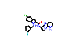 O=C(NC1=CCn2c1nc1c2NCCC1)c1cc2cc(Cl)ccc2n1Cc1cccc(F)c1